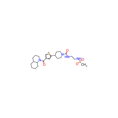 CS(=O)(=O)NCCNC(=O)N1CCC(c2cc(C(=O)N3CCCC4CCCCC43)cs2)CC1